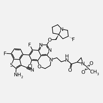 CS(=O)(=O)N1CC1C(=O)NCCN1CCOc2c(Cl)c(-c3ccc(F)c4sc(N)c(C#N)c34)c(F)c3nc(OC[C@@]45CCCN4C[C@H](F)C5)nc1c23